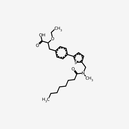 CCCCCCCC(=O)N(C)Cc1ccc(-c2ccc(CC(OCC)C(=O)O)cc2)s1